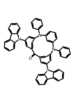 O=C1c2cc(cc(-n3c4ccccc4c4ccccc43)c2)N(c2ccccc2)c2cccc(c2)N(c2ccccc2)c2cc1cc(-n1c3ccccc3c3ccccc31)c2